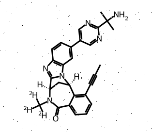 [2H]C([2H])([2H])N1C(=O)c2cccc(C#CC)c2[C@H]2C[C@@H]1c1nc3ccc(-c4cnc(C(C)(C)N)nc4)cc3n12